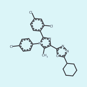 Cc1c(-c2nnc(C3CCCCC3)o2)nc(-c2ccc(Cl)cc2Cl)n1-c1ccc(Cl)cc1